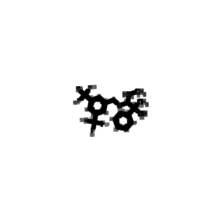 CNC(OCc1cc(C(F)(F)F)cc(C(F)(F)F)c1)C(C)(O)c1ccccc1